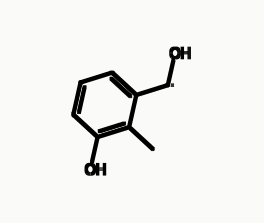 Cc1c(O)cccc1[CH]O